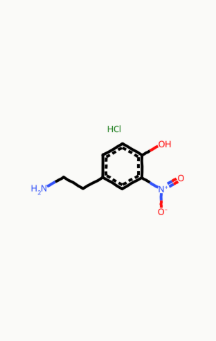 Cl.NCCc1ccc(O)c([N+](=O)[O-])c1